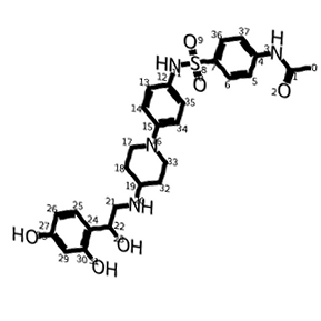 CC(=O)Nc1ccc(S(=O)(=O)Nc2ccc(N3CCC(NCC(O)c4ccc(O)cc4O)CC3)cc2)cc1